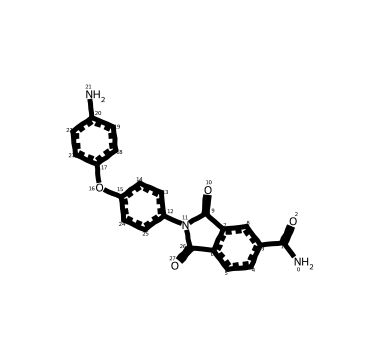 NC(=O)c1ccc2c(c1)C(=O)N(c1ccc(Oc3ccc(N)cc3)cc1)C2=O